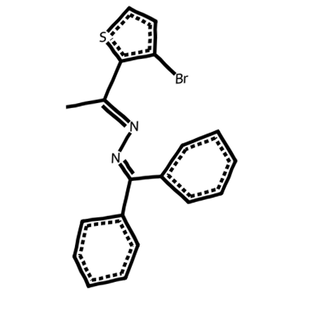 C/C(=N\N=C(c1ccccc1)c1ccccc1)c1sccc1Br